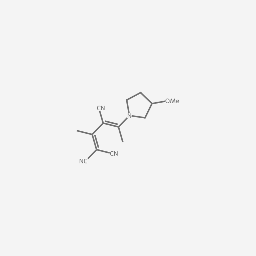 COC1CCN(/C(C)=C(\C#N)C(C)=C(C#N)C#N)C1